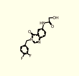 O=C(CO)Nc1ccc2ncn(Cc3ccc(F)c(F)c3)c(=O)c2c1